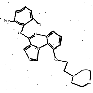 Cc1cccc(Cl)c1Nc1nc2cccc(OCCN3CCOCC3)c2n2cncc12